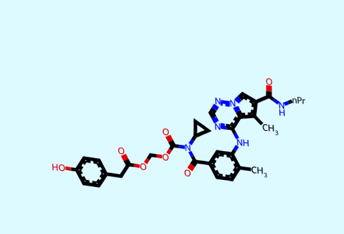 CCCNC(=O)c1cn2ncnc(Nc3cc(C(=O)N(C(=O)OCOC(=O)Cc4ccc(O)cc4)C4CC4)ccc3C)c2c1C